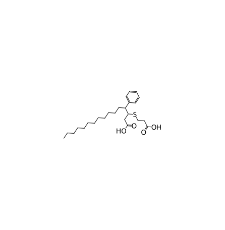 CCCCCCCCCCCCC(c1ccccc1)C(CC(=O)O)SCCC(=O)O